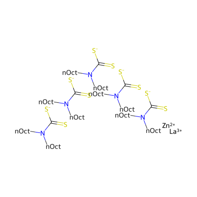 CCCCCCCCN(CCCCCCCC)C(=S)[S-].CCCCCCCCN(CCCCCCCC)C(=S)[S-].CCCCCCCCN(CCCCCCCC)C(=S)[S-].CCCCCCCCN(CCCCCCCC)C(=S)[S-].CCCCCCCCN(CCCCCCCC)C(=S)[S-].[La+3].[Zn+2]